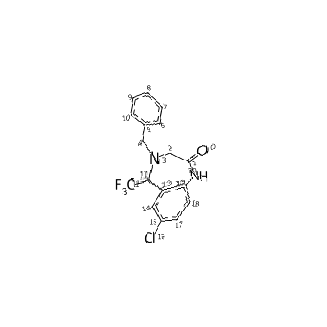 O=C1CN(Cc2ccccc2)C(C(F)(F)F)c2cc(Cl)ccc2N1